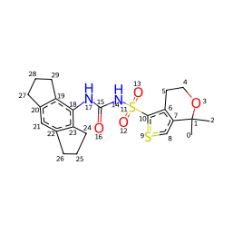 CC1(C)OCCc2c1csc2S(=O)(=O)NC(=O)Nc1c2c(cc3c1CCC3)CCC2